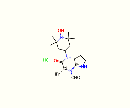 CC(C)[C@H](C(=O)NC1CC(C)(C)N(O)C(C)(C)C1)N(C=O)[C@H]1CCCN1.Cl